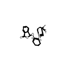 O=C1OC(O[C@@H]2CCCC[C@H]2N2CCC(F)(F)C2)c2ccccc21